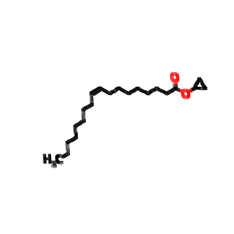 CCCCCCCC/C=C\CCCCCCCC(=O)OC1CC1